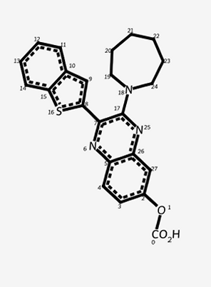 O=C(O)Oc1ccc2nc(-c3cc4ccccc4s3)c(N3CCCCCC3)nc2c1